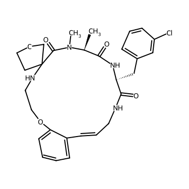 C[C@H]1C(=O)N[C@H](Cc2cccc(Cl)c2)C(=O)NC/C=C/c2ccccc2OCCNC2(CCCC2)C(=O)N1C